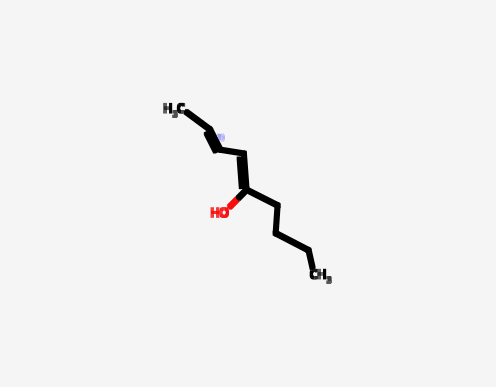 C/C=C/C=C(O)CCCC